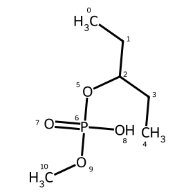 CCC(CC)OP(=O)(O)OC